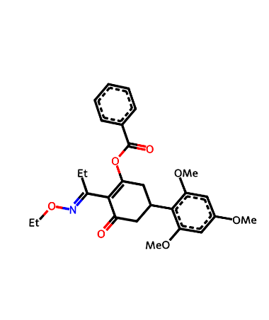 CCON=C(CC)C1=C(OC(=O)c2ccccc2)CC(c2c(OC)cc(OC)cc2OC)CC1=O